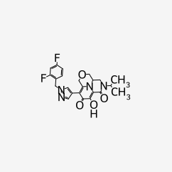 CC(C)N1CC2COCc3c(-c4cnn(Cc5ccc(F)cc5F)c4)c(=O)c(O)c(n32)C1=O